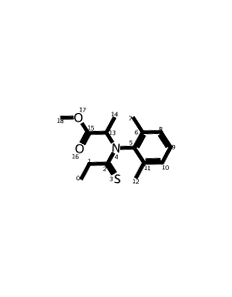 CCC(=S)N(c1c(C)cccc1C)C(C)C(=O)OC